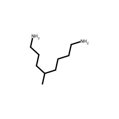 CC(CCCN)CCCCN